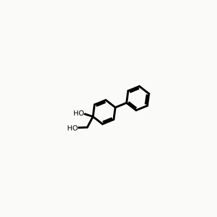 OCC1(O)C=CC(c2ccccc2)C=C1